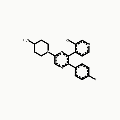 NC1CCN(c2cnc(-c3ccc(F)cc3)c(-c3ccncc3Cl)n2)CC1